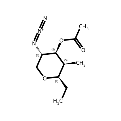 CC[C@H]1OC[C@H](N=[N+]=[N-])[C@@H](OC(C)=O)[C@H]1C